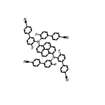 N#Cc1ccc(-c2ccc(F)c(N(c3cc(-c4ccc(C#N)cc4)ccc3F)c3ccc4ccc5c(N(c6cc(-c7ccc(C#N)cc7)ccc6F)c6cc(-c7ccc(C#N)cc7)ccc6F)ccc6ccc3c4c65)c2)cc1